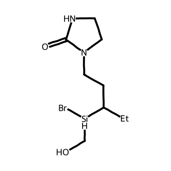 CCC(CCN1CCNC1=O)[SiH](Br)CO